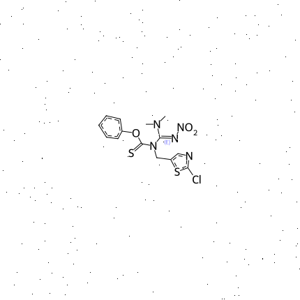 CN(C)/C(=N\[N+](=O)[O-])N(Cc1cnc(Cl)s1)C(=S)Oc1ccccc1